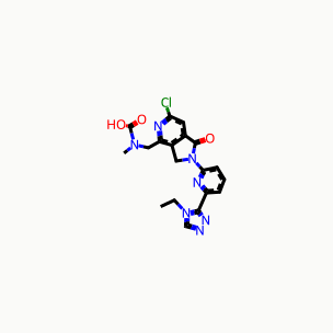 CCn1cnnc1-c1cccc(N2Cc3c(cc(Cl)nc3CN(C)C(=O)O)C2=O)n1